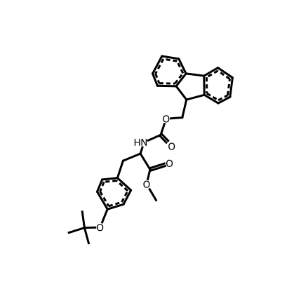 COC(=O)C(Cc1ccc(OC(C)(C)C)cc1)NC(=O)OCC1c2ccccc2-c2ccccc21